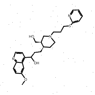 COc1ccc2nccc(C(O)CC[C@@H]3CCN(CCCSc4ccccn4)C[C@@H]3CO)c2c1